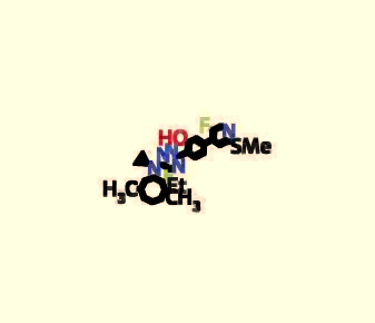 CC[C@]1(C)CCCC(C)C[C@H](N(c2cnc(-c3ccc(-c4cc(SC)ncc4F)cc3O)nn2)C2CC2)[C@@H]1F